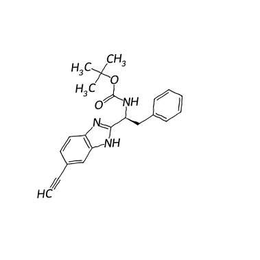 C#Cc1ccc2nc([C@H](Cc3ccccc3)NC(=O)OC(C)(C)C)[nH]c2c1